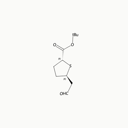 CC(C)(C)OC(=O)[C@H]1CC[C@H](CC=O)S1